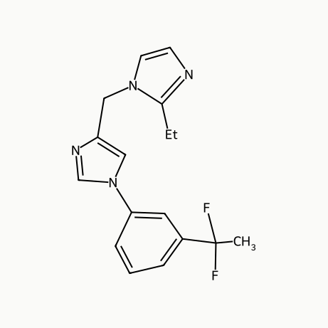 CCc1nccn1Cc1cn(-c2cccc(C(C)(F)F)c2)cn1